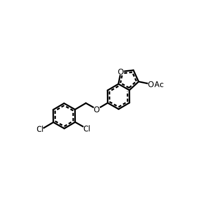 CC(=O)Oc1coc2cc(OCc3ccc(Cl)cc3Cl)ccc12